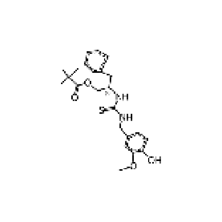 COc1cc(CNC(=S)N[C@@H](COC(=O)C(C)(C)C)Cc2ccccc2)ccc1O